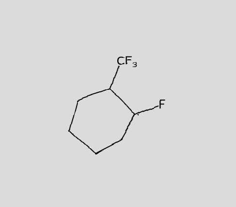 F[C]1CCCCC1C(F)(F)F